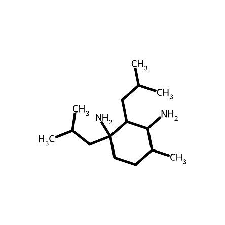 CC(C)CC1C(N)C(C)CCC1(N)CC(C)C